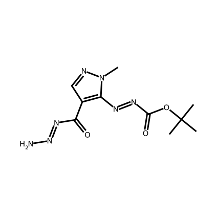 Cn1ncc(C(=O)N=NN)c1N=NC(=O)OC(C)(C)C